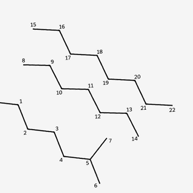 CCCCCC(C)C.CCCCCCC.CCCCCCCC